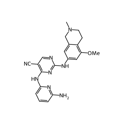 COc1cc(Nc2ncc(C#N)c(Nc3cccc(N)n3)n2)cc2c1CCN(C)C2